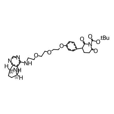 CC(C)(C)OC(=O)N1C(=O)CCC(c2ccc(OCCOCCOCCNc3ncnc4c3C[C@@H]3CC[C@H]4N3)cc2)C1=O